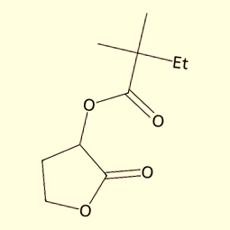 CCC(C)(C)C(=O)OC1CCOC1=O